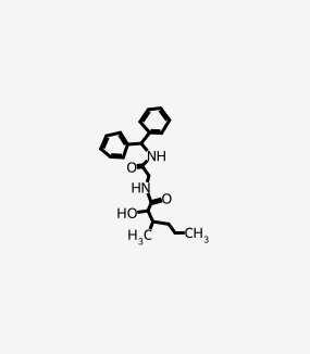 CCCC(C)C(O)C(=O)NCC(=O)NC(c1ccccc1)c1ccccc1